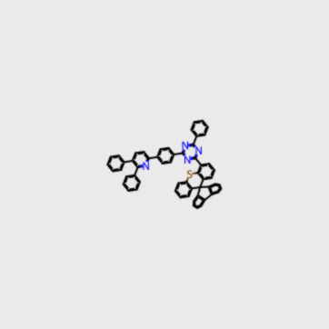 c1ccc(-c2nc(-c3ccc(-c4ccc(-c5ccccc5)c(-c5ccccc5)n4)cc3)nc(-c3cccc4c3Sc3ccccc3C43c4ccccc4-c4ccccc43)n2)cc1